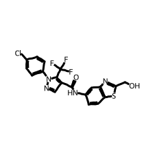 O=C(Nc1ccc2sc(CO)nc2c1)c1cnn(-c2ccc(Cl)cc2)c1C(F)(F)F